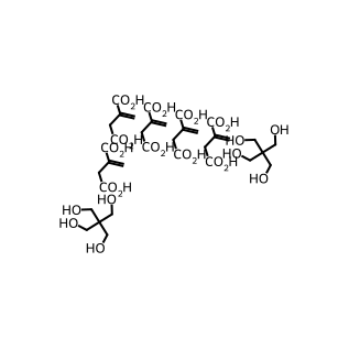 C=C(CC(=O)O)C(=O)O.C=C(CC(=O)O)C(=O)O.C=C(CC(=O)O)C(=O)O.C=C(CC(=O)O)C(=O)O.C=C(CC(=O)O)C(=O)O.OCC(CO)(CO)CO.OCC(CO)(CO)CO